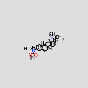 CC(C)OC(=O)N(C)[C@H]1CC[C@@]2(C)C(=CC[C@H]3[C@@H]4CC[C@@H]5[C@H](C)N(C)CC54CC[C@@H]32)C1